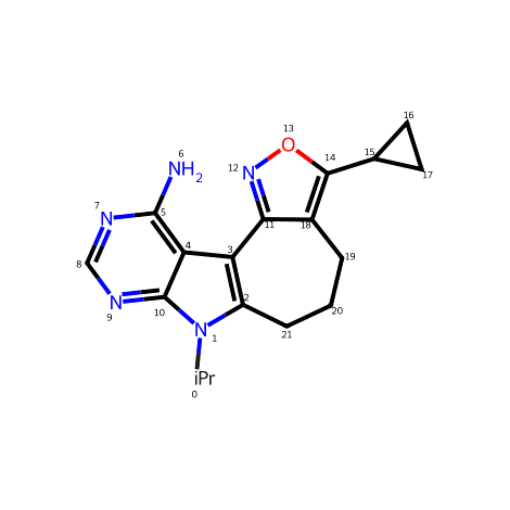 CC(C)n1c2c(c3c(N)ncnc31)-c1noc(C3CC3)c1CCC2